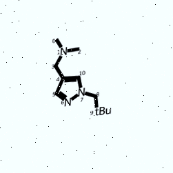 CN(C)Cc1cnn(CC(C)(C)C)c1